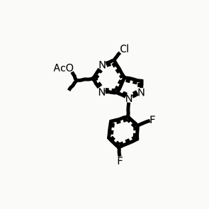 CC(=O)OC(C)c1nc(Cl)c2cnn(-c3ccc(F)cc3F)c2n1